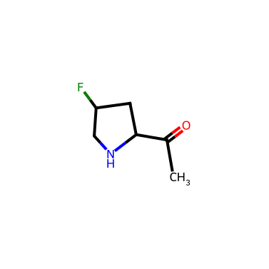 CC(=O)C1CC(F)CN1